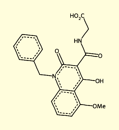 COc1cccc2c1c(O)c(C(=O)NCC(=O)O)c(=O)n2Cc1ccccc1